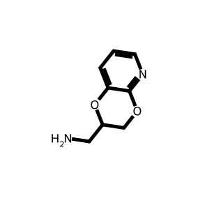 NCC1COc2ncccc2O1